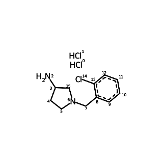 Cl.Cl.NC1CCN(Cc2ccccc2Cl)C1